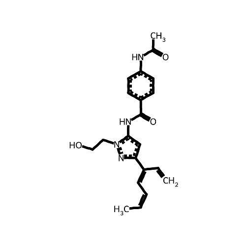 C=C/C(=C\C=C/C)c1cc(NC(=O)c2ccc(NC(C)=O)cc2)n(CCO)n1